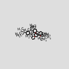 Cl.Cl.[CH2]=[Zr]([C]1=CC=CC1)([c]1ccc([Si](CC)(CC)CC)cc1)([c]1ccc([Si](CC)(CC)CC)cc1)[c]1c(C(C)(C)C)ccc2c1Cc1cc(C(C)(C)C)ccc1-2